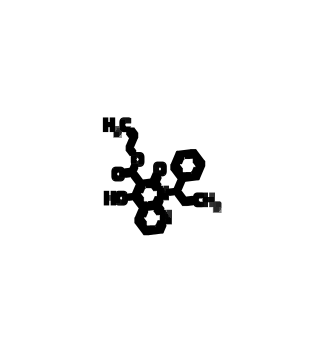 C=CCOC(=O)c1c(O)c2cccnc2n(C(C=C)c2ccccc2)c1=O